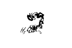 CC(C)(C)OC(=O)N1CC(C(=O)N2CC3CC2CN3Cc2ccc(Oc3nc4ccccc4s3)cc2)C1